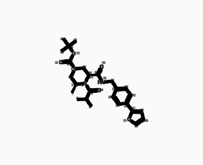 CC(C)C(=O)N1[C@@H](C)CN(C(=O)OC(C)(C)C)C[C@H]1C(=O)NCc1ccc(-c2ccco2)cc1